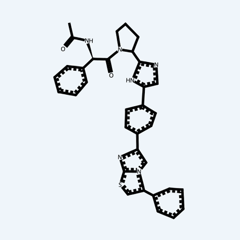 CC(=O)N[C@@H](C(=O)N1CCCC1c1ncc(-c2ccc(-c3cn4c(-c5ccccc5)csc4n3)cc2)[nH]1)c1ccccc1